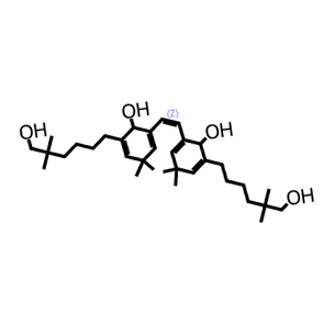 CC1(C)C=C(/C=C\C2=CC(C)(C)C=C(CCCCC(C)(C)CO)C2O)C(O)C(CCCCC(C)(C)CO)=C1